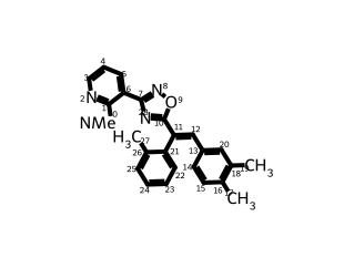 CNc1ncccc1-c1noc(/C(=C/c2ccc(C)c(C)c2)c2ccccc2C)n1